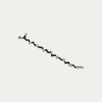 COCCOCCOCCOCCOCCOCCOCCOCCC(=O)C(C)(C)C